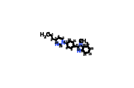 C=CCC1C=CN(c2ccc(-c3nc4ccccc4n3C)cc2)C=N1